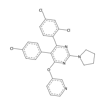 Clc1ccc(-c2c(Oc3cccnc3)nc(N3CCCC3)nc2-c2ccc(Cl)cc2Cl)cc1